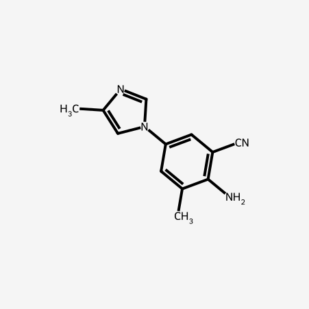 Cc1cn(-c2cc(C)c(N)c(C#N)c2)cn1